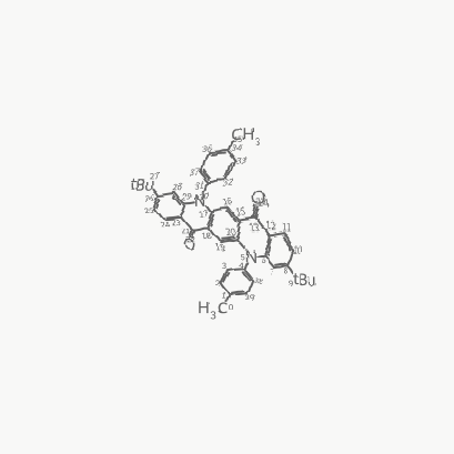 Cc1ccc(-n2c3cc(C(C)(C)C)ccc3c(=O)c3cc4c(cc32)c(=O)c2ccc(C(C)(C)C)cc2n4-c2ccc(C)cc2)cc1